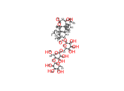 C=C(C)[C@@H]1CC[C@]2(C(=O)O[C@@H]3O[C@H](CO[C@@H]4O[C@H](CO)[C@@H](O[C@@H]5O[C@@H](C)[C@H](O)[C@@H](O)[C@H]5O)[C@H](O)[C@H]4O)[C@@H](O)[C@H](O)[C@H]3O)CC[C@]3(C)[C@H](C[C@H]4OC(=O)C[C@@H](O)[C@]5(C)[C@@H]4[C@@]3(C)CC[C@H]5C(=C)C)[C@@H]12